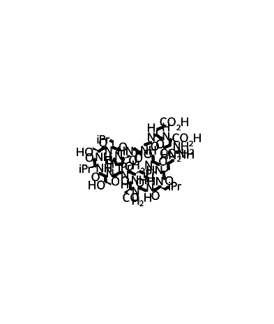 CC(C)C[C@H](NC(=O)[C@H](CCCNC(=N)N)NC(=O)[C@@H](N)CO)C(=O)NCC(=O)N[C@@H](CC(=O)O)C(=O)N[C@@H](CC(C)C)C(=O)N[C@H](C(=O)N[C@H](C(=O)N[C@H](C(=O)N[C@@H](CO)C(=O)N[C@@H](CC(C)C)C(=O)N1CCC[C@H]1C(=O)NCC(=O)NCC(=O)N[C@@H](CCC(=O)O)C(=O)N[C@@H](CCC(=O)O)C(=O)O)C(C)C)[C@@H](C)O)C(C)C